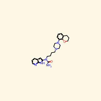 NC(=O)N(CCCCN1CCN(c2cccc3c2OCCC3)CC1)c1cc2cccnc2[nH]1